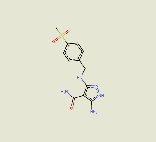 CS(=O)(=O)c1ccc(CNc2n[nH]c(N)c2C(N)=O)cc1